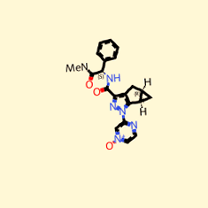 CNC(=O)[C@@H](NC(=O)c1nn(-c2c[n+]([O-])ccn2)c2c1C[C@H]1C[C@@H]21)c1ccccc1